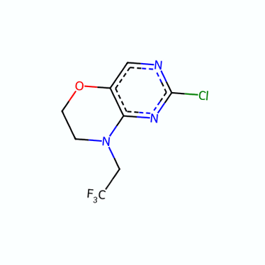 FC(F)(F)CN1CCOc2cnc(Cl)nc21